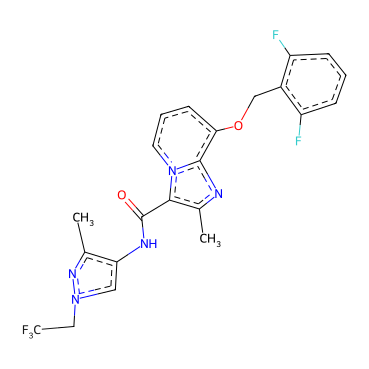 Cc1nn(CC(F)(F)F)cc1NC(=O)c1c(C)nc2c(OCc3c(F)cccc3F)cccn12